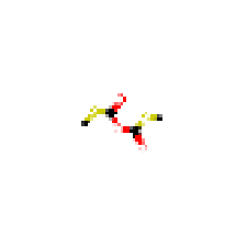 CSC(=O)OC(=O)SC